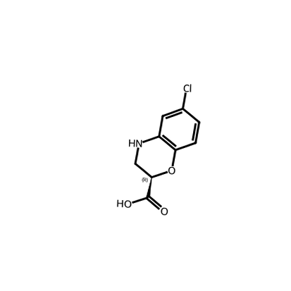 O=C(O)[C@H]1CNc2cc(Cl)ccc2O1